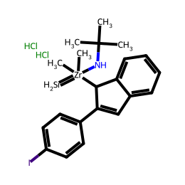 CC(C)(C)[NH][Zr]([CH3])([CH3])(=[SiH2])[CH]1C(c2ccc(I)cc2)=Cc2ccccc21.Cl.Cl